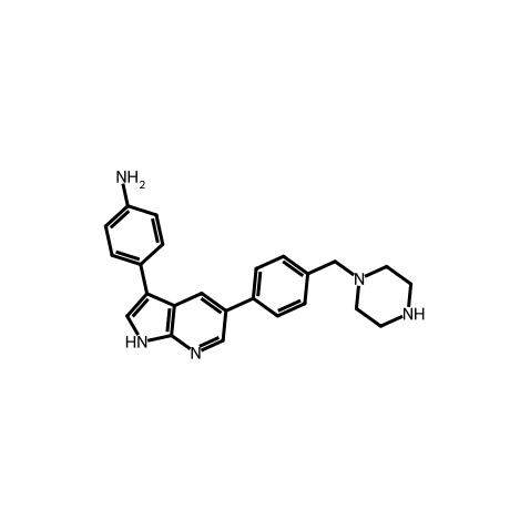 Nc1ccc(-c2c[nH]c3ncc(-c4ccc(CN5CCNCC5)cc4)cc23)cc1